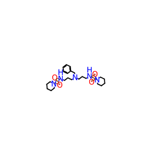 O=S(=O)(NCCCN(CCCNS(=O)(=O)N1CCCCC1)Cc1ccccc1)N1CCCCC1